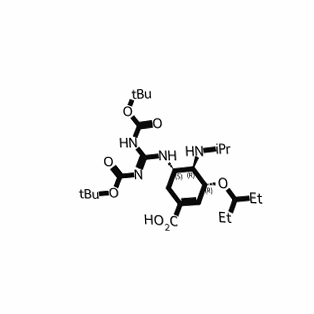 CCC(CC)O[C@@H]1C=C(C(=O)O)C[C@H](NC(=NC(=O)OC(C)(C)C)NC(=O)OC(C)(C)C)[C@H]1NC(C)C